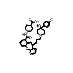 O=C(O)C1CCN(NC(=O)C2C=CC=C3Oc4ncccc4C(=CCCN4CCC(O)(c5ccc(Cl)cc5)CC4)C=C32)CC1